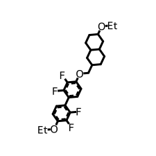 CCOc1ccc(-c2ccc(OCC3CCC4CC(OCC)CCC4C3)c(F)c2F)c(F)c1F